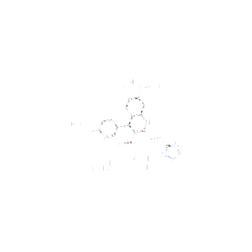 CCOC(=O)c1c(CCc2nccn2C)nc2cc(OC)c(OC)cc2c1-c1ccc(OC)c(OC)c1.Cl.Cl